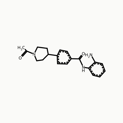 CC(=O)N1CCC(c2ccc(C(=O)Nc3ccccc3N)cc2)CC1